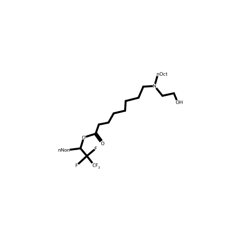 CCCCCCCCCC(OC(=O)CCCCCCCN(CCO)CCCCCCCC)C(F)(F)C(F)(F)F